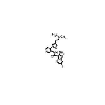 CN(C)CCc1cnn(-c2ccncc2NC(=O)c2c(N)nn3cc(F)cnc23)c1